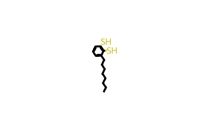 CCCCCCCCc1cccc(S)c1S